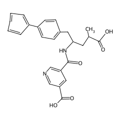 CC(CC(Cc1ccc(-c2ccccc2)cc1)NC(=O)c1cncc(C(=O)O)c1)C(=O)O